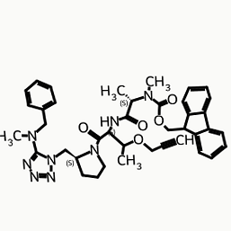 C#CCOC(C)[C@H](NC(=O)[C@H](C)N(C)C(=O)OCC1c2ccccc2-c2ccccc21)C(=O)N1CCC[C@H]1Cn1nnnc1N(C)Cc1ccccc1